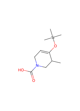 CC1CN(C(=O)O)CC=C1O[Si](C)(C)C